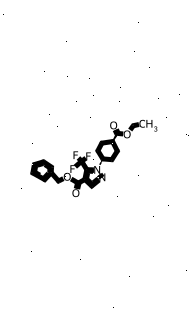 CCOC(=O)[C@H]1CC[C@H](n2ncc(C(=O)OCc3ccccc3)c2C(F)(F)F)CC1